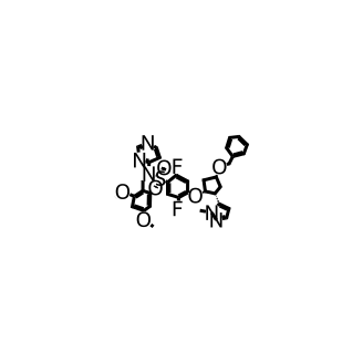 COc1ccc(CN(c2ccncn2)S(=O)(=O)c2cc(F)c(O[C@H]3C[C@H](OCc4ccccc4)C[C@@H]3c3ccnn3C)cc2F)c(OC)c1